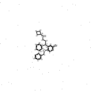 Brc1ccc(OCc2ccccc2)c(C(CCNC2CCC2)c2ccccc2)c1